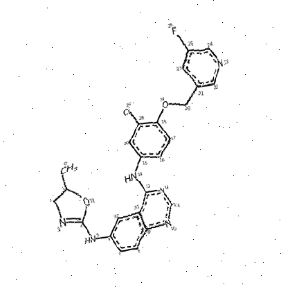 CC1CN=C(Nc2ccc3ncnc(Nc4ccc(OCc5cncc(F)c5)c(Cl)c4)c3c2)O1